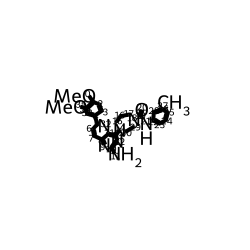 COc1ccc(-c2ccc3nc(N)nc(N4CCCN(C(=O)Nc5cccc(C)c5)CC4)c3n2)cc1OC